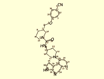 N#Cc1ccc(OCC2CCCN(C(=O)NC3CCN(c4ccnc5cnc6[nH]ccc6c45)CC3)C2)cc1